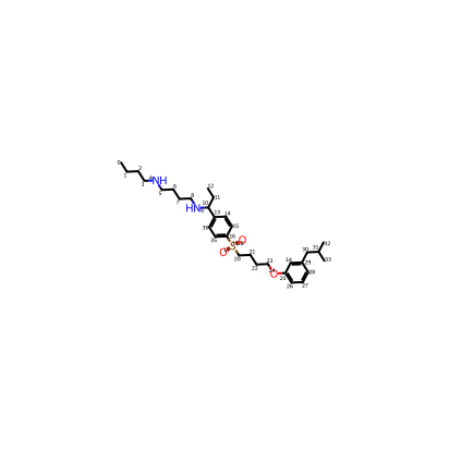 CCCCNCCCCNC(CC)c1ccc(S(=O)(=O)CCCCOc2cccc(CC(C)C)c2)cc1